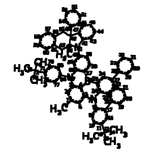 Cc1cc2c3c(c1)N(c1ccc(C(C)(C)C)cc1-c1ccccc1)c1ccc(-c4ccccc4)cc1B3c1ccc(N3c4ccccc4C4(c5ccccc5)Cc5ccccc5CC34C)cc1N2c1ccc(C(C)(C)C)cc1